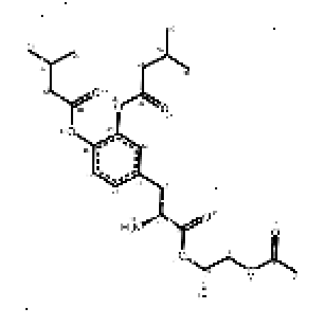 CC(=O)OC[C@H](C)OC(=O)[C@@H](N)Cc1ccc(OC(=O)CC(C)C)c(OC(=O)CC(C)C)c1